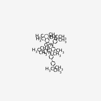 Cc1cc2c3c(c1)N(c1ccc(C(C)(C)C)cc1)c1c(oc4cc5c(cc14)C(C)(C)CCC5(C)C)B3c1cc(C(C)(C)C)ccc1N2c1ccc(-c2ccc(C(C)(C)C)cc2)cc1C